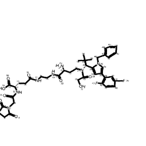 CC(C)C1CC(=O)N(CC(=O)N[C@@H](CCC(=O)NCCNC(=O)[C@@H](N)CCN(C(=O)CO)[C@@H](c2cc(-c3cc(F)ccc3F)cn2Cc2ccccc2)C(C)(C)C)C(=O)O)C1=O